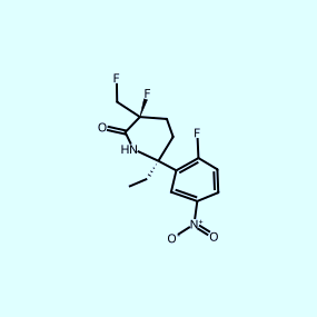 CC[C@@]1(c2cc([N+](=O)[O-])ccc2F)CC[C@@](F)(CF)C(=O)N1